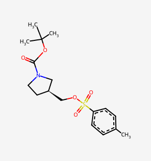 Cc1ccc(S(=O)(=O)OC[C@H]2CCN(C(=O)OC(C)(C)C)C2)cc1